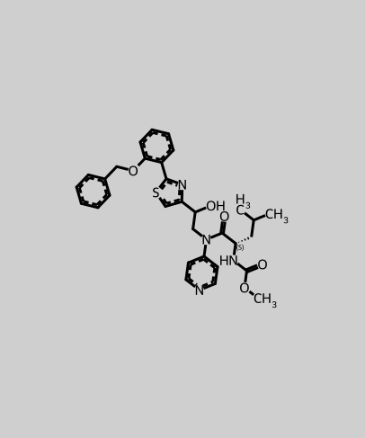 COC(=O)N[C@@H](CC(C)C)C(=O)N(CC(O)c1csc(-c2ccccc2OCc2ccccc2)n1)c1ccncc1